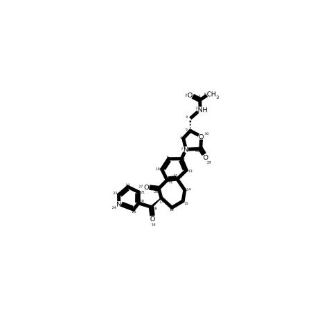 CC(=O)NC[C@H]1CN(c2ccc3c(c2)CCC[C@@H](C(=O)c2cccnc2)C3=O)C(=O)O1